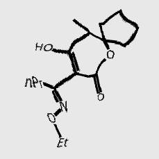 CCCC(=NOCC)C1=C(O)C(C)C2(CCCC2)OC1=O